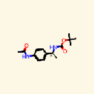 CC(=O)Nc1ccc([C@H](C)NC(=O)OC(C)(C)C)cc1